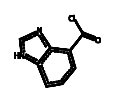 O=C(Cl)c1cccc2[nH]cnc12